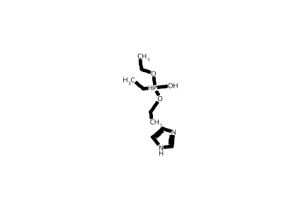 CCO[PH](O)(CC)OCC.c1c[nH]cn1